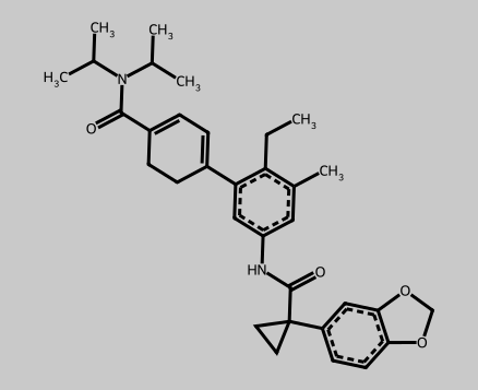 CCc1c(C)cc(NC(=O)C2(c3ccc4c(c3)OCO4)CC2)cc1C1=CC=C(C(=O)N(C(C)C)C(C)C)CC1